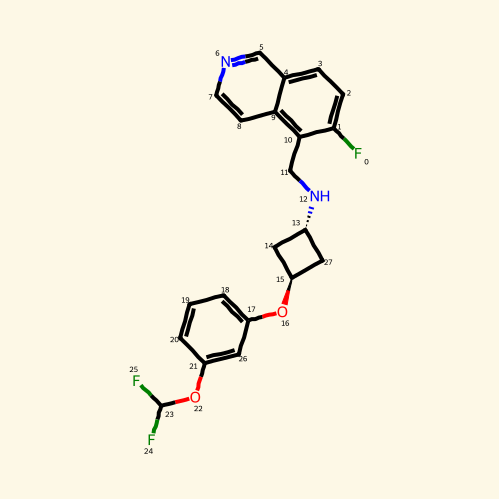 Fc1ccc2cnccc2c1CN[C@H]1C[C@H](Oc2cccc(OC(F)F)c2)C1